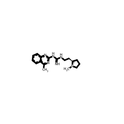 Cc1nc(NC(=N)NCC[C@H]2CCCN2C)nc2ccccc12